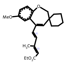 CCOC(=O)/C=C(C)/C=C/C1=CC2(CCCCC2)COc2ccc(OC)cc21